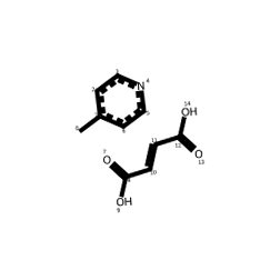 Cc1ccncc1.O=C(O)C=CC(=O)O